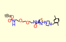 Cc1ccc(C)c(CN2CCN(c3nc(C(=O)NCCOCCOCCNC(=O)OC(C)(C)C)cs3)CC2)c1